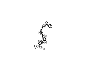 CC(C)c1cnnc(Nc2ccc3ncc(-c4cnn(CCCN5CC(C(=O)N6CCOCC6)C5)c4)cc3n2)c1